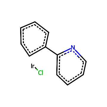 [Cl][Ir].c1ccc(-c2ccccn2)cc1